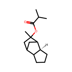 CC(C)C(=O)OC1(C)CC2CC1[C@H]1CCCC21